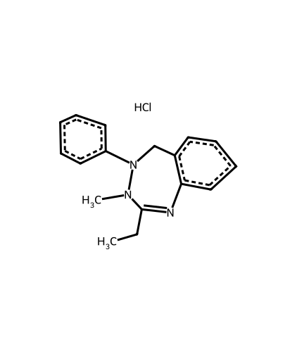 CCC1=Nc2ccccc2CN(c2ccccc2)N1C.Cl